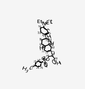 CCN(CC)C1=CC=C([C@@H]2CC[C@@H]3CC=C(OC(CO)COS(=O)(=O)c4ccc(C)cc4)C[C@@H]3N2)CC1